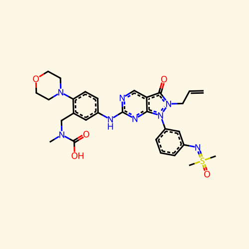 C=CCn1c(=O)c2cnc(Nc3ccc(N4CCOCC4)c(CN(C)C(=O)O)c3)nc2n1-c1cccc(N=S(C)(C)=O)c1